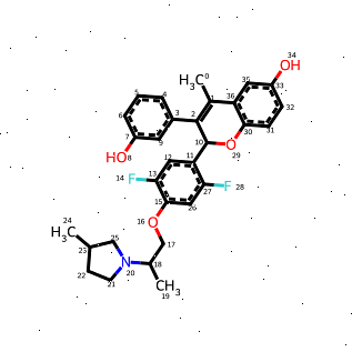 CC1=C(c2cccc(O)c2)C(c2cc(F)c(OCC(C)N3CCC(C)C3)cc2F)Oc2ccc(O)cc21